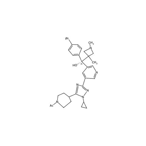 CC(=O)N1CCC(c2nc(-c3cncc([C@@](O)(c4ccc(C(C)C)cc4)C4(C)CN(C)C4)c3)nn2C2CC2)CC1